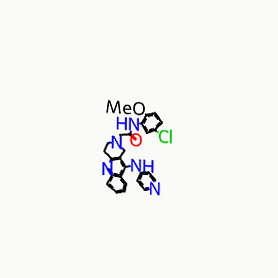 COc1ccc(Cl)cc1NC(=O)CN1CCc2nc3ccccc3c(Nc3ccncc3)c2C1